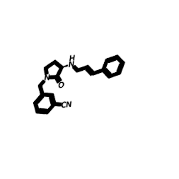 N#Cc1cccc(CN2CC[C@H](NCC=Cc3ccccc3)C2=O)c1